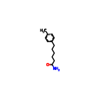 Cc1ccc(CCCCCC(N)=O)cc1